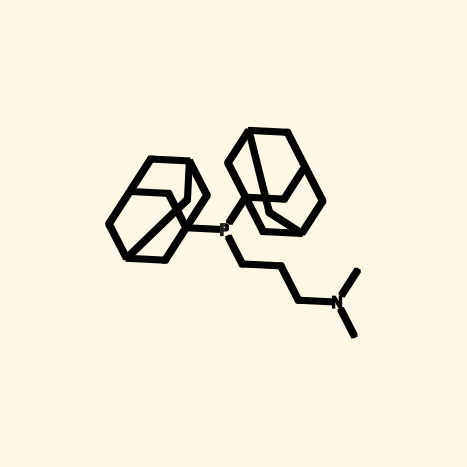 CN(C)CCCP(C12CC3CC(CC(C3)C1)C2)C12CC3CC(CC(C3)C1)C2